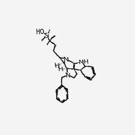 CC(C)(CCC1[C@@H]2[C@@H]3N(Cc4ccccc4)CC[C@@]34C3C=CC=CC3NC4N12)[Si](C)(C)O